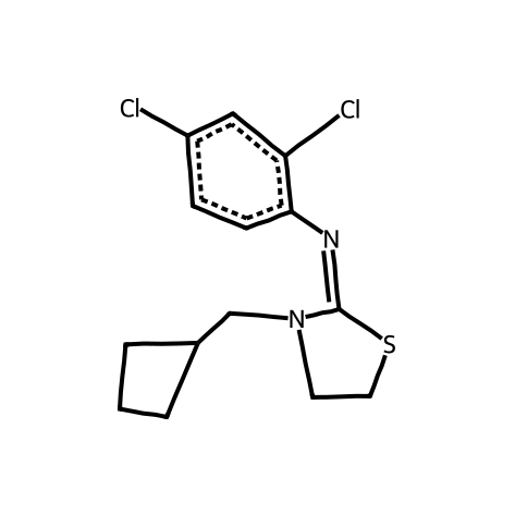 Clc1ccc(N=C2SCCN2CC2CCC2)c(Cl)c1